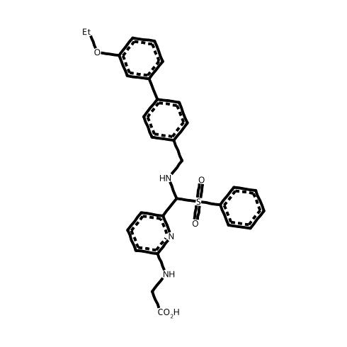 CCOc1cccc(-c2ccc(CNC(c3cccc(NCC(=O)O)n3)S(=O)(=O)c3ccccc3)cc2)c1